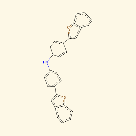 C1=CC(Nc2ccc(-c3cc4ccccc4s3)cc2)CC=C1c1cc2ccccc2s1